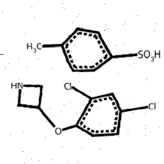 Cc1ccc(S(=O)(=O)O)cc1.Clc1ccc(OC2CNC2)c(Cl)c1